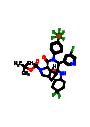 CC(C)(C)OC(=O)N1CC2CC[C@@H]2[C@@H]1C(=O)N(c1ccc(S(F)(F)(F)(F)F)cc1)C(C(=O)NC1CCC(F)(F)CC1)c1cncc(F)c1